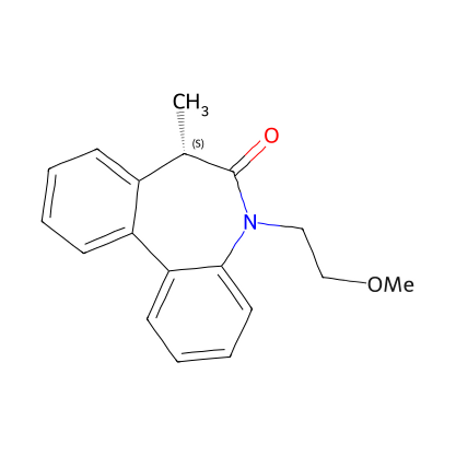 COCCN1C(=O)[C@@H](C)c2ccccc2-c2ccccc21